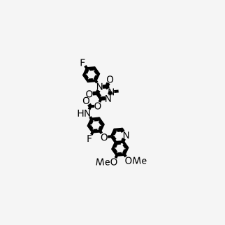 COc1cc2nccc(Oc3ccc(NC(=O)Oc4nn(C)c(=O)n(-c5ccc(F)cc5)c4=O)cc3F)c2cc1OC